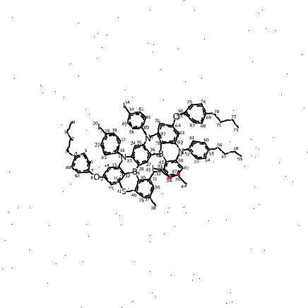 CCCCc1ccc(Oc2cc3c4c(c2)N(c2ccc(I)cc2)c2cc5c(cc2B4c2c(CCCC)cc(C)cc2S3)B2c3c(I)cc(C)cc3N(c3ccc(CCCC)cc3)c3cc(Oc4ccc(CCCC)cc4)cc(c32)N5c2ccc(I)cc2)cc1